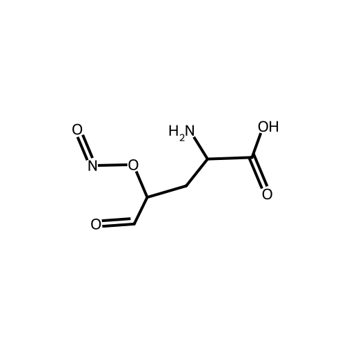 NC(CC(C=O)ON=O)C(=O)O